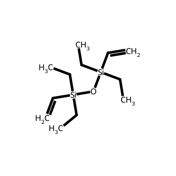 C=C[Si](CC)(CC)O[Si](C=C)(CC)CC